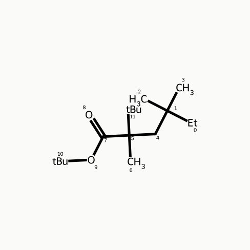 CCC(C)(C)CC(C)(C(=O)OC(C)(C)C)C(C)(C)C